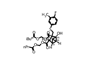 CCCC(=O)OCOC(=O)[C@@]1(N)[C@H]2[C@H]3[C@@](O)([C@H]1CSc1ccc(F)c(C)c1)[C@]23C(=O)OCOC(=O)[C@@H](C)CC